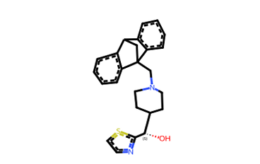 O[C@H](c1nccs1)C1CCN(CC23CC(c4ccccc42)c2ccccc23)CC1